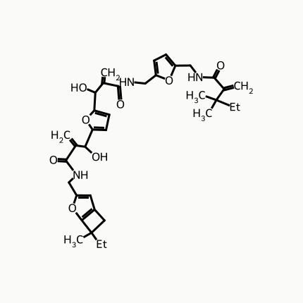 C=C(C(=O)NCc1ccc(CNC(=O)C(=C)C(C)(C)CC)o1)C(O)c1ccc(C(O)C(=C)C(=O)NCc2cc3c(o2)C(C)(CC)C3)o1